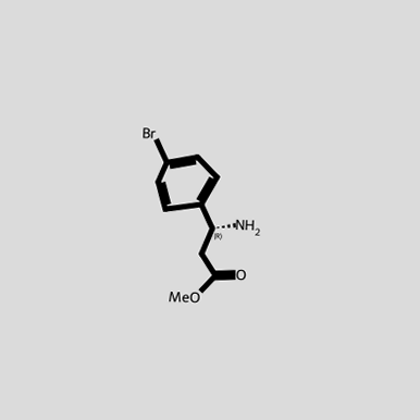 COC(=O)C[C@@H](N)c1ccc(Br)cc1